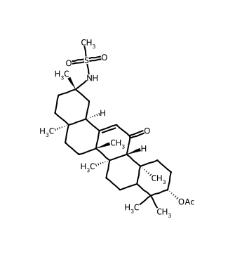 CC(=O)O[C@H]1CC[C@@]2(C)C(CC[C@]3(C)[C@@H]2C(=O)C=C2[C@@H]4C[C@@](C)(NS(C)(=O)=O)CC[C@]4(C)CC[C@]23C)C1(C)C